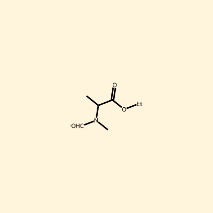 CCOC(=O)C(C)N(C)[C]=O